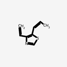 C=Cc1ncsc1/C=C\C